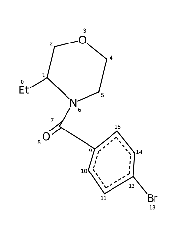 CCC1COCCN1C(=O)c1ccc(Br)cc1